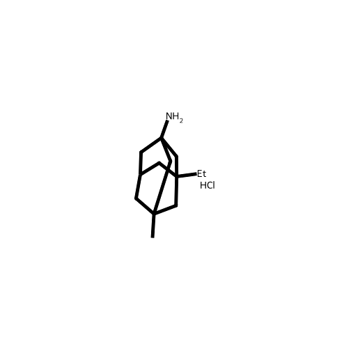 CCC12CC3CC(C)(CC(N)(C3)C1)C2.Cl